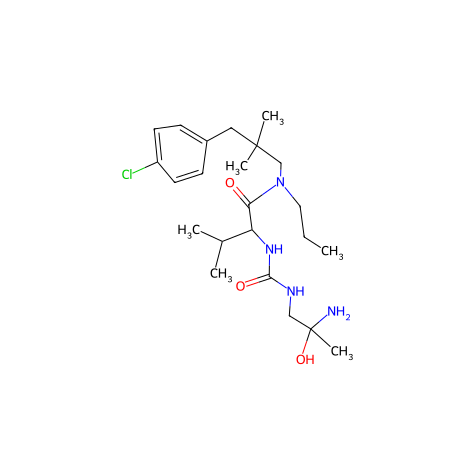 CCCN(CC(C)(C)Cc1ccc(Cl)cc1)C(=O)C(NC(=O)NCC(C)(N)O)C(C)C